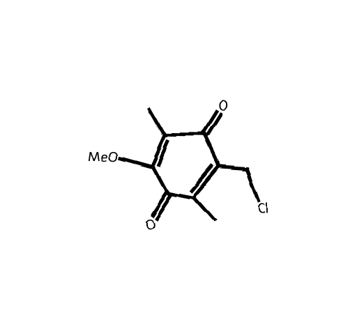 COC1=C(C)C(=O)C(CCl)=C(C)C1=O